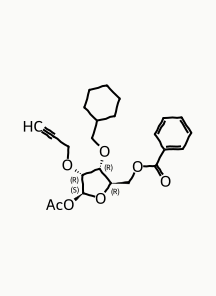 C#CCO[C@H]1[C@H](OC(C)=O)O[C@H](COC(=O)c2ccccc2)[C@H]1OCC1CCCCC1